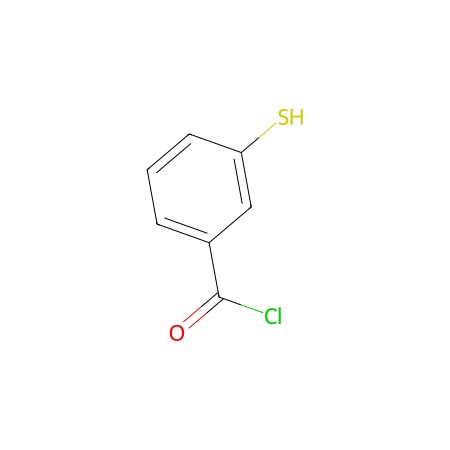 O=C(Cl)c1cccc(S)c1